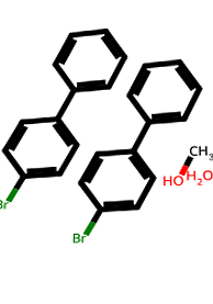 Brc1ccc(-c2ccccc2)cc1.Brc1ccc(-c2ccccc2)cc1.CO.O